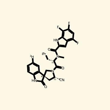 [2H]c1ccc2c(c1)[C@@]1(C[C@@H](C#N)N(C(=O)[C@H](CC(C)C)N(C)C(=O)c3cc4c(F)cc(F)c(F)c4[nH]3)C1)C(=O)N2